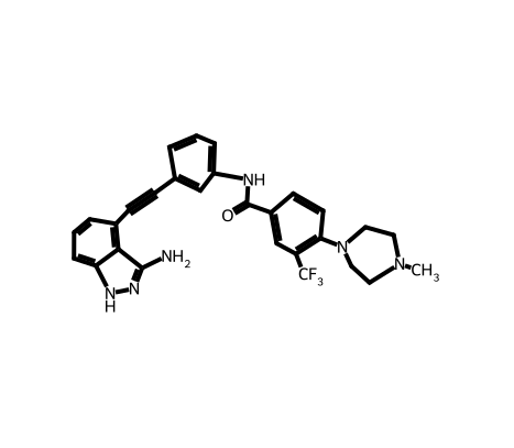 CN1CCN(c2ccc(C(=O)Nc3cccc(C#Cc4cccc5[nH]nc(N)c45)c3)cc2C(F)(F)F)CC1